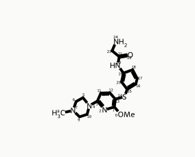 COc1nc(N2CCN(C)CC2)ccc1Sc1cccc(NC(=O)CN)c1